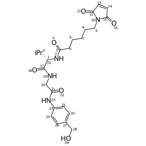 CC(C)[C@H](NC(=O)CCCCCN1C(=O)C=CC1=O)C(=O)NCC(=O)Nc1ccc(CO)cc1